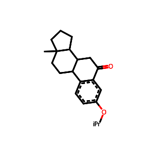 CC(C)Oc1ccc2c(c1)C(=O)CC1C2CCC2(C)CCCC12